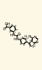 Nc1ncnc2scc(-c3ccc(NC(=O)Nc4cccc(C(=O)O)c4)cc3)c12